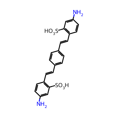 Nc1ccc(C=Cc2ccc(C=Cc3ccc(N)cc3S(=O)(=O)O)cc2)c(S(=O)(=O)O)c1